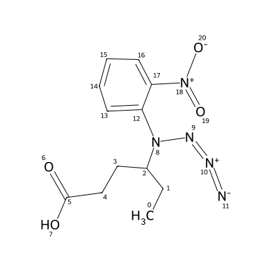 CCC(CCC(=O)O)N(N=[N+]=[N-])c1ccccc1[N+](=O)[O-]